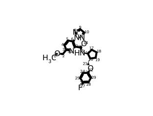 COCc1ccc(-n2nccn2)c(C(=O)N[C@H]2CCC[C@@H]2COc2ccc(F)cc2)n1